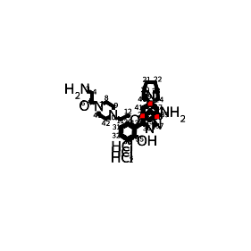 Cl.Cl.Cl.NCC(=O)N1CCN(CCOc2cccc(N3C4CCC3CN(c3cc(-c5ccccc5O)nnc3N)C4)c2)CC1